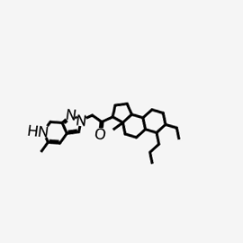 CCCC1C(CC)CCC2C1CCC1(C)C(C(=O)Cn3cc4c(n3)CNC(C)=C4)CCC21